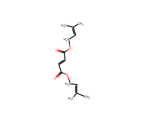 CC(C)=C[SiH2]OC(=O)C=CC(=O)O[SiH2]C=C(C)C